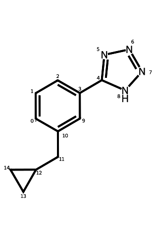 [c]1ccc(-c2nnn[nH]2)cc1CC1CC1